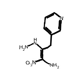 NNC(Cc1cccnc1)=C(N)[N+](=O)[O-]